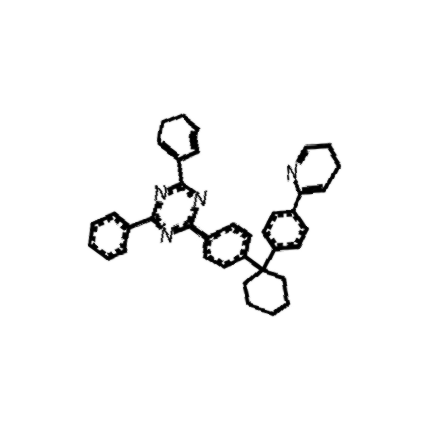 C1=CC(c2nc(-c3ccccc3)nc(-c3ccc(C4(c5ccc(C6=CCCC=N6)cc5)CCCCC4)cc3)n2)=CCC1